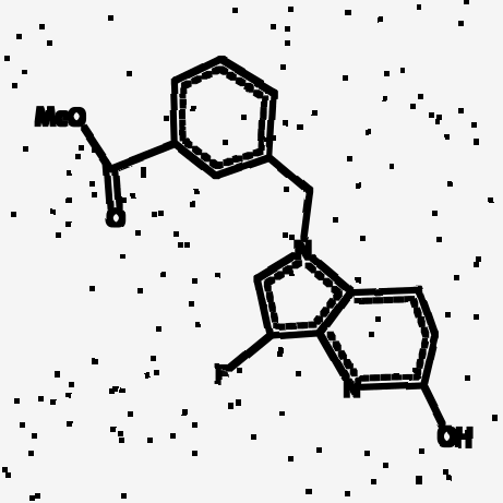 COC(=O)c1cccc(Cn2cc(F)c3nc(O)ccc32)c1